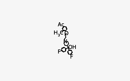 CC(=O)c1ccc(OCCCN2CCC(C(O)(c3ccc(F)cc3)c3ccc(F)cc3)CC2)c(C)c1